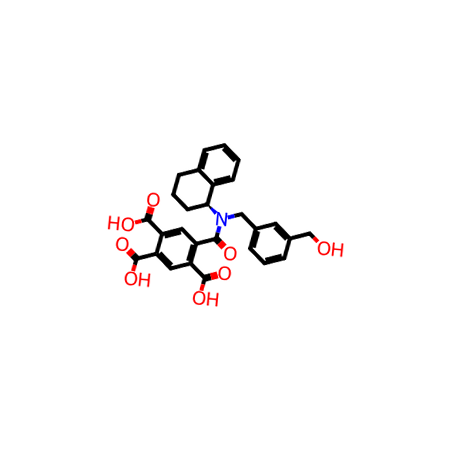 O=C(O)c1cc(C(=O)O)c(C(=O)N(Cc2cccc(CO)c2)[C@H]2CCCc3ccccc32)cc1C(=O)O